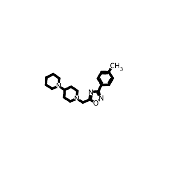 Cc1ccc(-c2noc(CN3CCC(N4CCCCC4)CC3)n2)cc1